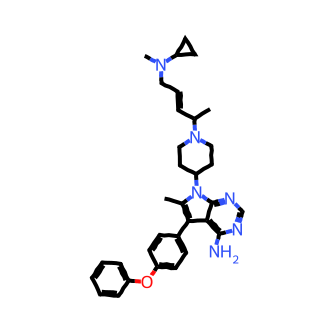 Cc1c(-c2ccc(Oc3ccccc3)cc2)c2c(N)ncnc2n1C1CCN(C(C)/C=C/CN(C)C2CC2)CC1